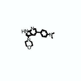 CN(C)c1ccc(-c2cnc3[nH]cc(N4CCOCC4)c3c2)cc1